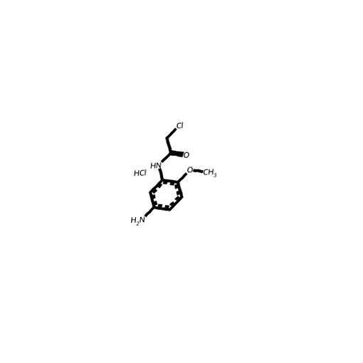 COc1ccc(N)cc1NC(=O)CCl.Cl